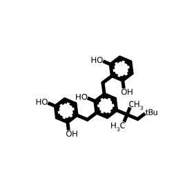 CC(C)(C)CC(C)(C)c1cc(Cc2ccc(O)cc2O)c(O)c(Cc2c(O)cccc2O)c1